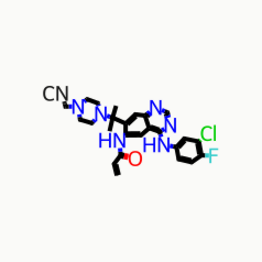 C=CC(=O)Nc1cc2c(Nc3ccc(F)c(Cl)c3)ncnc2cc1C(C)(C)N1CCN(CC#N)CC1